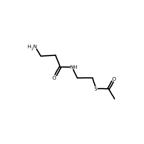 CC(=O)SCCNC(=O)CCN